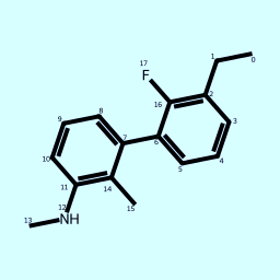 CCc1cccc(-c2cccc(NC)c2C)c1F